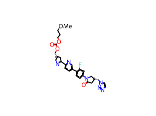 COCCCOC(=O)OC[C@H]1CN=C(c2ccc(-c3ccc(N4C[C@H](Cn5ccnn5)CC4=O)cc3F)cn2)C1